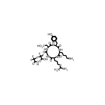 NCCCCC1NC(=O)C(Cc2ccc(O)cc2)NC(=O)C(CC(=O)O)NC(=O)CNC(=O)C(CCCN=C(N)N)NC1=O.O=C(O)C(F)(F)F.O=C(O)C(F)(F)F